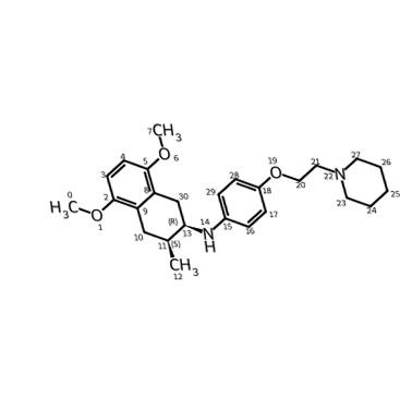 COc1ccc(OC)c2c1C[C@H](C)[C@H](Nc1ccc(OCCN3CCCCC3)cc1)C2